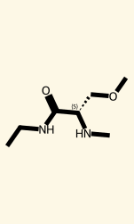 CCNC(=O)[C@H](COC)NC